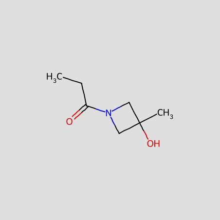 CCC(=O)N1CC(C)(O)C1